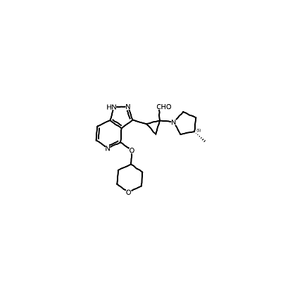 C[C@H]1CCN(C2(C=O)CC2c2n[nH]c3ccnc(OC4CCOCC4)c23)C1